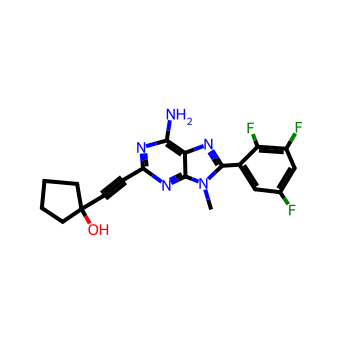 Cn1c(-c2cc(F)cc(F)c2F)nc2c(N)nc(C#CC3(O)CCCC3)nc21